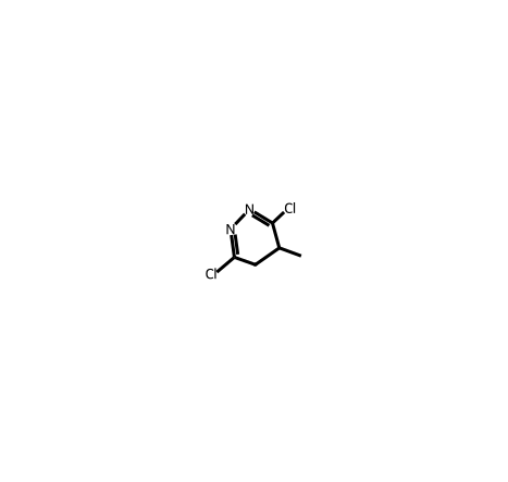 CC1CC(Cl)=NN=C1Cl